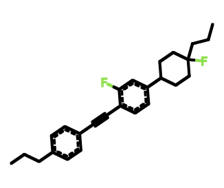 CCCc1ccc(C#Cc2ccc(C3CCC(F)(CCC)CC3)cc2F)cc1